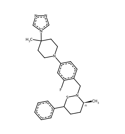 C[C@H]1CCC(c2ccccc2)SN1Cc1ccc(N2CCC(C)(n3cnnc3)CC2)cc1F